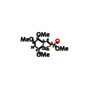 COC(=O)c1cc2c(OC)c(OC)cc(OC)c2s1